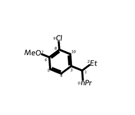 CCCC(CC)c1ccc(OC)c(Cl)c1